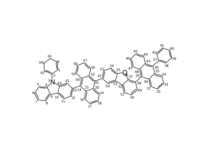 C1=CC(n2c3ccccc3c3ccc(-c4c5ccccc5c(-c5ccc6oc7c(-c8c9ccccc9c(-c9ccccc9)c9ccccc89)cccc7c6c5)c5ccccc45)cc32)=CCC1